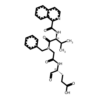 CC(C)[C@H](NC(=O)c1nccc2ccccc12)C(=O)N(CC(=O)N[C@@H](C=O)CCC(=O)O)Cc1ccccc1